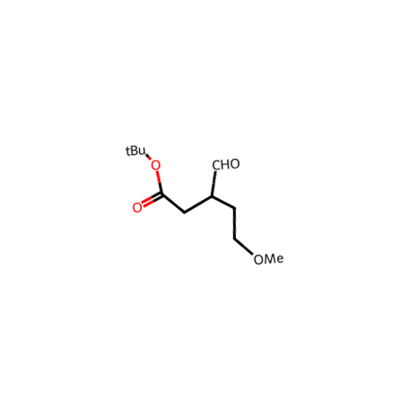 COCCC(C=O)CC(=O)OC(C)(C)C